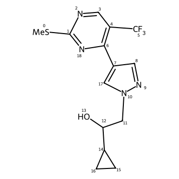 CSc1ncc(C(F)(F)F)c(-c2cnn(CC(O)C3CC3)c2)n1